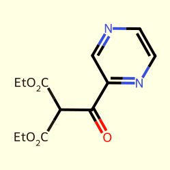 CCOC(=O)C(C(=O)OCC)C(=O)c1cnccn1